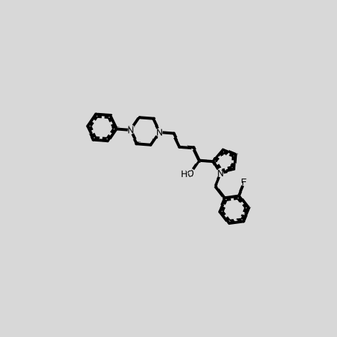 OC(CCCN1CCN(c2ccccc2)CC1)c1cccn1Cc1ccccc1F